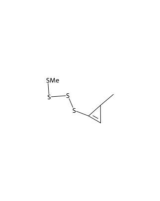 CSSSSC1=CC1C